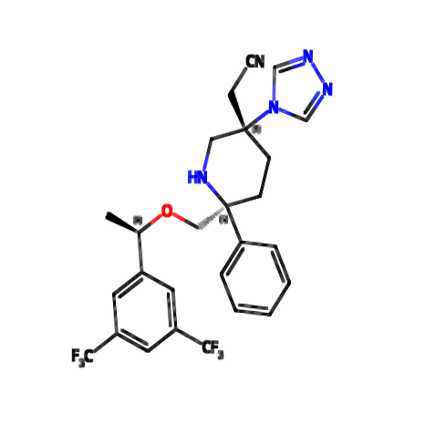 C[C@@H](OC[C@@]1(c2ccccc2)CC[C@@](CC#N)(n2cnnc2)CN1)c1cc(C(F)(F)F)cc(C(F)(F)F)c1